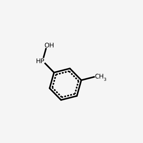 Cc1cccc(PO)c1